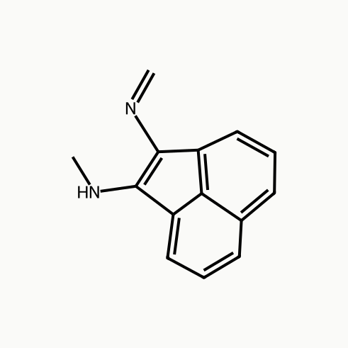 C=NC1=C(NC)c2cccc3cccc1c23